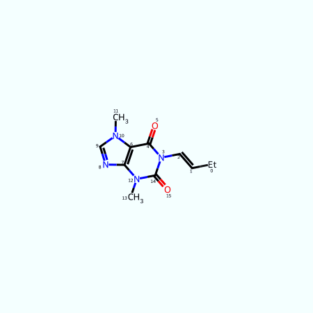 CCC=Cn1c(=O)c2c(ncn2C)n(C)c1=O